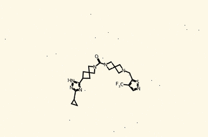 O=C(N1CC2(CC(c3nc(C4CC4)n[nH]3)C2)C1)N1CC2(CN(Cc3sncc3C(F)(F)F)C2)C1